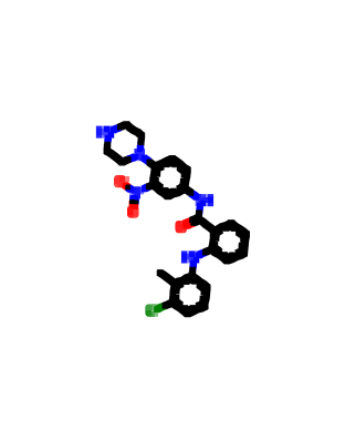 Cc1c(Cl)cccc1Nc1ccccc1C(=O)Nc1ccc(N2CCNCC2)c([N+](=O)[O-])c1